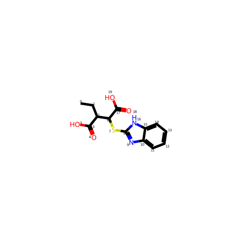 CCC(C(=O)O)C(Sc1nc2ccccc2[nH]1)C(=O)O